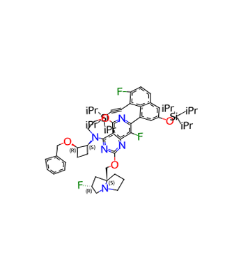 CC(C)[Si](C#Cc1c(F)ccc2cc(O[Si](C(C)C)(C(C)C)C(C)C)cc(-c3nc4c5c(nc(OC[C@@]67CCCN6C[C@H](F)C7)nc5c3F)N([C@H]3CC[C@H]3OCc3ccccc3)CCO4)c12)(C(C)C)C(C)C